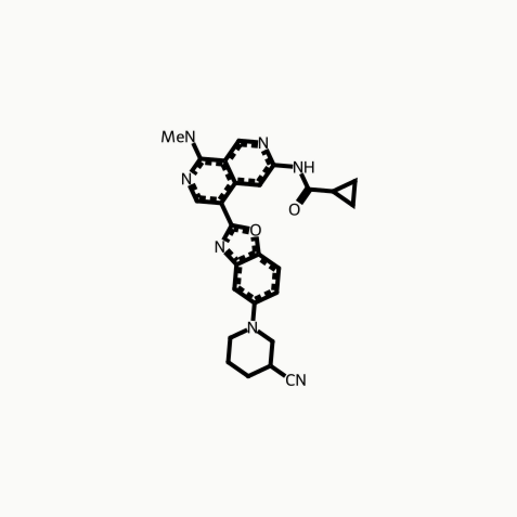 CNc1ncc(-c2nc3cc(N4CCCC(C#N)C4)ccc3o2)c2cc(NC(=O)C3CC3)ncc12